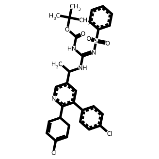 CC(N/C(=N/S(=O)(=O)c1ccccc1)NC(=O)OC(C)(C)C)c1cnc(C2C=CC(Cl)=CC2)c(-c2ccc(Cl)cc2)c1